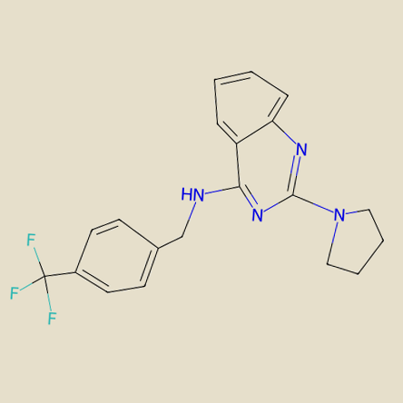 FC(F)(F)c1ccc(CNc2nc(N3CCCC3)nc3ccccc23)cc1